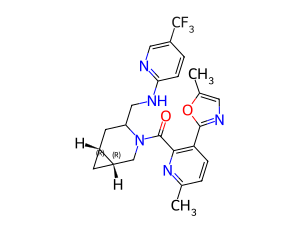 Cc1ccc(-c2ncc(C)o2)c(C(=O)N2C[C@@H]3C[C@@H]3CC2CNc2ccc(C(F)(F)F)cn2)n1